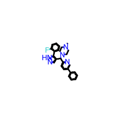 CN1CCN(C(c2ccc(-c3ccccc3)cn2)c2cn[nH]c2-c2ccccc2F)CC1